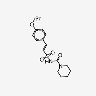 CC(C)Oc1ccc(C=CS(=O)(=O)NC(=O)N2CCCCC2)cc1